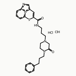 Cl.Cl.O=C(NCCCN1CCN(CCCc2ccccc2)C(=O)C1)C1=Cc2cnc3cccc(n23)S1